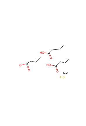 CCCC(=O)O.CCCC(=O)O.CCCC(=O)[O-].S.[Na+]